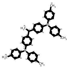 Cc1ccc(N(c2ccc(C)cc2)c2ccc(C(C)c3ccc(N(c4ccc(C)cc4)c4ccc(C)cc4)cc3)cc2)cc1